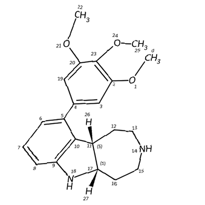 COc1cc(-c2cccc3c2[C@@H]2CCNCC[C@@H]2N3)cc(OC)c1OC